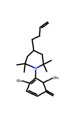 C=CCCC1CC(C)(C)N(C2=C(C(C)(C)C)C=CC(=C)C2C(C)(C)C)C(C)(C)C1